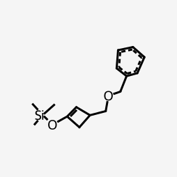 C[Si](C)(C)OC1=CC(COCc2ccccc2)C1